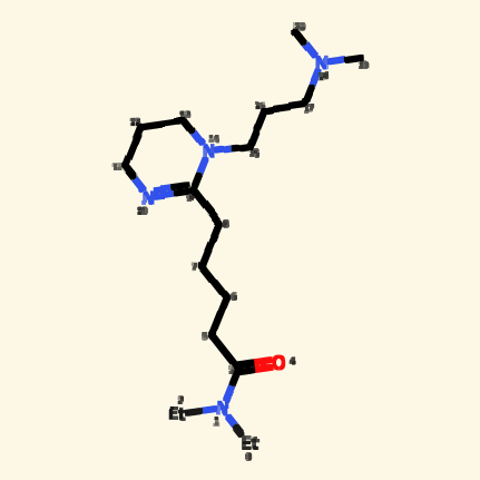 CCN(CC)C(=O)CCCCC1=NCCCN1CCCN(C)C